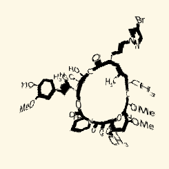 CO[C@H]1C[C@@H](C)C/C(C)=C/[C@@H](C/C=C/n2cc(Br)cn2)C(=O)C[C@H](O)[C@@H](C)[C@@H](/C(C)=C/[C@@H]2CC[C@@H](O)[C@H](OC)C2)OC(=O)[C@@H]2CCCCN2C(=O)C(=O)[C@]2(O)O[C@H]1[C@@H](OC)C[C@H]2C